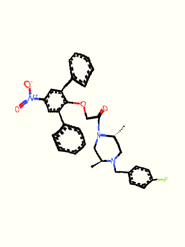 C[C@@H]1CN(Cc2ccc(F)cc2)[C@@H](C)CN1C(=O)COc1c(-c2ccccc2)cc([N+](=O)[O-])cc1-c1ccccc1